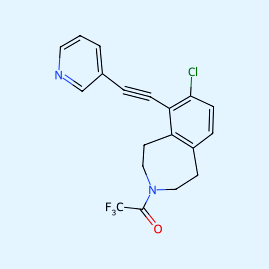 O=C(N1CCc2ccc(Cl)c(C#Cc3cccnc3)c2CC1)C(F)(F)F